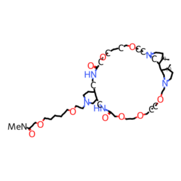 CNC(=O)COCCCCCOCCN1CCC2CCNC(=O)COCCCCOCCN3CC[C@@H](C)C(C3)C3CN(CCOCCCOCCOCC(=O)NCC2C1)CC[C@@H]3C